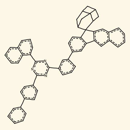 c1ccc(-c2ccc(-c3nc(-c4cccc(-c5ccc6c(c5)-c5cc7ccccc7cc5C65C6CC7CC(C6)CC5C7)c4)nc(-c4cccc5ccccc45)n3)cc2)cc1